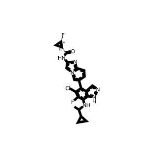 CC(Nc1c(F)c(Cl)c(-c2ccc3nc(NC(=O)[C@@H]4C[C@@H]4F)cn3c2)c2cn[nH]c12)C1CC1